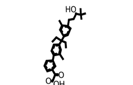 CCC(CC)(c1ccc(CCC(O)C(C)(C)C)c(C)c1)c1ccc(-c2cccc(C(=O)C(=O)O)c2)c(C)c1